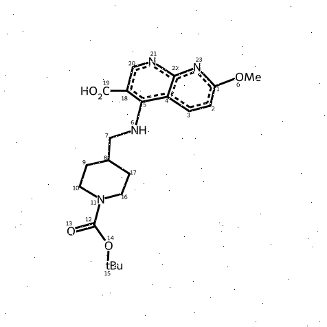 COc1ccc2c(NCC3CCN(C(=O)OC(C)(C)C)CC3)c(C(=O)O)cnc2n1